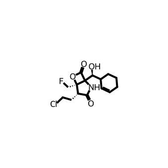 O=C1NC2([C@@H](O)C3C=CCCC3)C(=O)O[C@]2(CF)[C@H]1CCCl